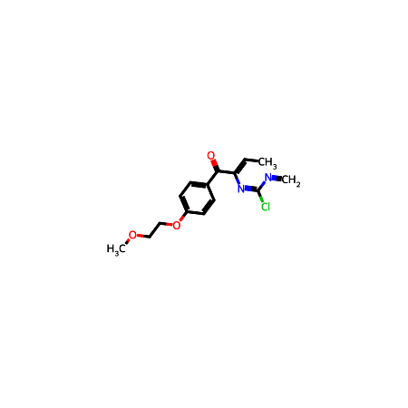 C=N/C(Cl)=N\C(=C/C)C(=O)c1ccc(OCCOC)cc1